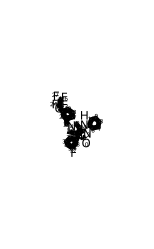 O=C1N=C(NC2CCCCC2)C2(CCN(Cc3cccc(OC(F)(F)C(F)F)c3)CC2)N1c1cccc(F)c1